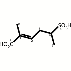 C/C(=C\CC(C)S(=O)(=O)O)C(=O)O